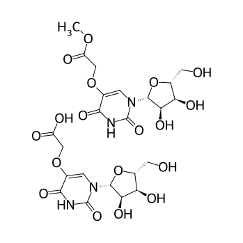 COC(=O)COc1cn([C@@H]2O[C@H](CO)[C@@H](O)[C@H]2O)c(=O)[nH]c1=O.O=C(O)COc1cn([C@@H]2O[C@H](CO)[C@@H](O)[C@H]2O)c(=O)[nH]c1=O